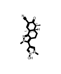 C[C@@H]1C(=O)C(C#N)=C[C@]2(C)c3nn(C)c(-c4cn(C)[n+](O)c4)c3CC[C@@H]12